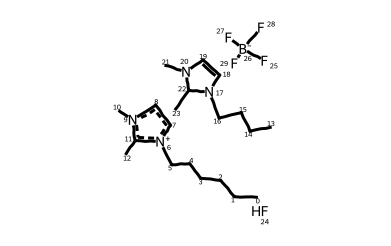 CCCCCC[n+]1ccn(C)c1C.CCCCN1C=CN(C)C1C.F.F[B-](F)(F)F